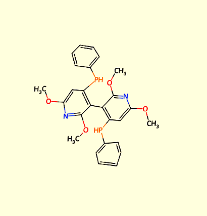 COc1cc(Pc2ccccc2)c(-c2c(Pc3ccccc3)cc(OC)nc2OC)c(OC)n1